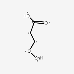 O=C(O)CC[O][SnH]